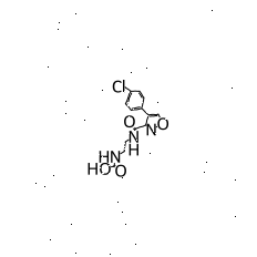 O=C(O)NCCNC(=O)c1nocc1-c1ccc(Cl)cc1